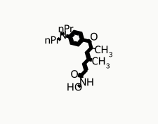 CCCN(CCC)c1ccc(C(=O)[C@H](C)/C=C(C)/C=C/C(=O)NO)cc1